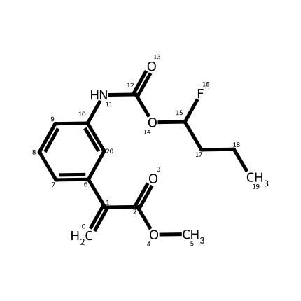 C=C(C(=O)OC)c1cccc(NC(=O)OC(F)CCC)c1